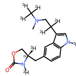 [2H]N1C(=O)OC[C@]1([2H])Cc1ccc2c(c1)c(C([2H])([2H])CN(C)C([2H])([2H])[2H])cn2[2H]